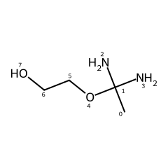 CC(N)(N)OCCO